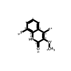 COc1c(F)c2cccc(F)c2[nH]c1=O